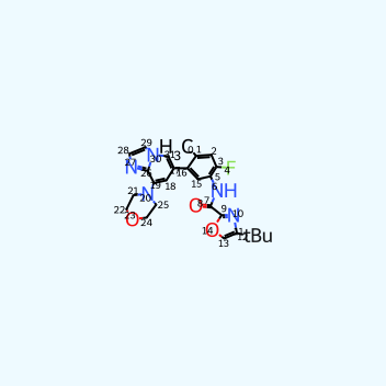 Cc1cc(F)c(NC(=O)c2nc(C(C)(C)C)co2)cc1-c1cc(N2CCOCC2)c2nccn2c1